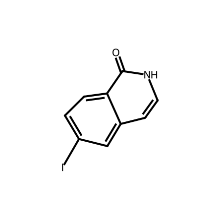 O=c1[nH]ccc2cc(I)ccc12